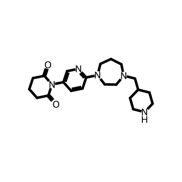 O=C1CCCC(=O)N1c1ccc(N2CCCN(CC3CCNCC3)CC2)nc1